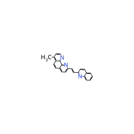 Cc1ccnc2c1ccc1ccc(/C=C/c3ccc4ccccc4n3)nc12